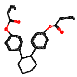 C=CC(=O)Oc1ccc(C2CCCCC2c2ccc(OC(=O)C=C)cc2)cc1